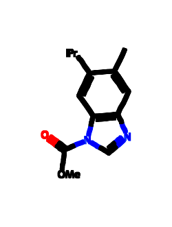 COC(=O)n1cnc2cc(C)c(C(C)C)cc21